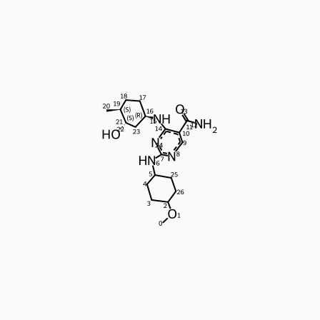 COC1CCC(Nc2ncc(C(N)=O)c(N[C@@H]3CC[C@H](C)[C@@H](O)C3)n2)CC1